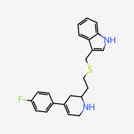 Fc1ccc(C2=CCNC(CCSCc3c[nH]c4ccccc34)C2)cc1